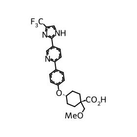 COC[C@]1(C(=O)O)CC[C@H](Oc2ccc(-c3ccc(-c4nc(C(F)(F)F)c[nH]4)cn3)cc2)CC1